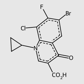 O=C(O)c1cn(C2CC2)c2c(Cl)c(F)c(Br)cc2c1=O